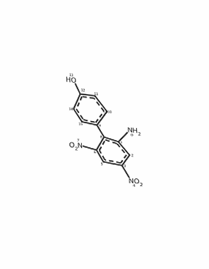 Nc1cc([N+](=O)[O-])cc([N+](=O)[O-])c1-c1ccc(O)cc1